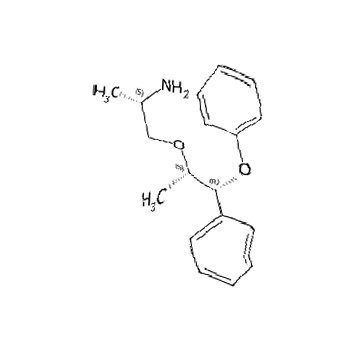 C[C@H](N)CO[C@@H](C)[C@H](Oc1ccccc1)c1ccccc1